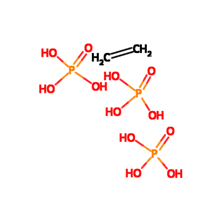 C=C.O=P(O)(O)O.O=P(O)(O)O.O=P(O)(O)O